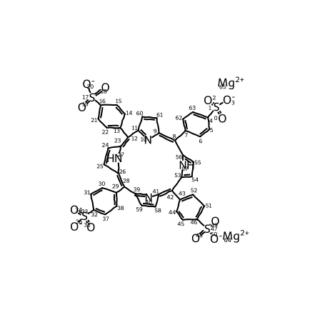 O=S(=O)([O-])c1ccc(-c2c3nc(c(-c4ccc(S(=O)(=O)[O-])cc4)c4ccc([nH]4)c(-c4ccc(S(=O)(=O)[O-])cc4)c4nc(c(-c5ccc(S(=O)(=O)[O-])cc5)c5ccc2[nH]5)C=C4)C=C3)cc1.[Mg+2].[Mg+2]